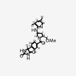 COC[C@@H]1C[C@H](Nc2ncc(C)cc2C)CN1C(=O)c1ccc([C@@]2(C)NC(=O)NC2=O)cc1